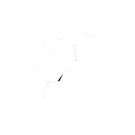 CO[C@H]1CC[C@H](CC(=O)[O-])C1.[K+]